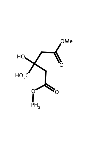 COC(=O)CC(O)(CC(=O)OP)C(=O)O